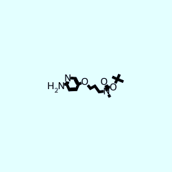 CN(CCCOc1ccc(N)nc1)C(=O)OC(C)(C)C